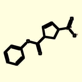 O=C(Oc1ccccc1)C1C=CC([N+](=O)[O-])C1